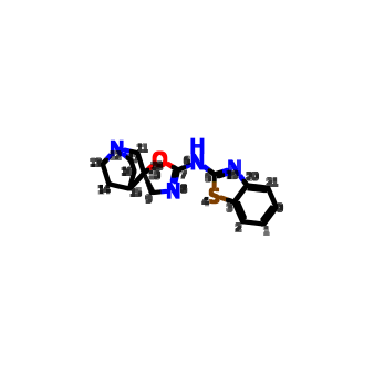 c1ccc2sc(NC3=NC[C@@]4(CN5CCC4CC5)O3)nc2c1